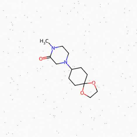 CN1CCN(C2CCC3(CC2)OCCO3)CC1=O